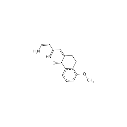 COc1cccc2c1CC/C(=C/C(=N)/C=C\N)C2=O